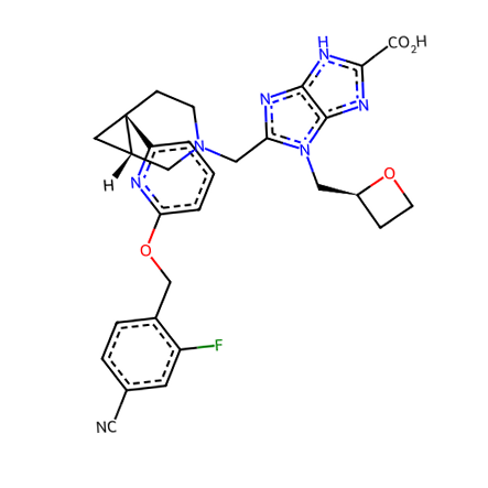 N#Cc1ccc(COc2cccc([C@@]34CCN(Cc5nc6[nH]c(C(=O)O)nc6n5C[C@@H]5CCO5)C[C@@H]3C4)n2)c(F)c1